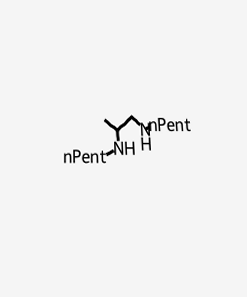 CCCCCNCC(C)NCCCCC